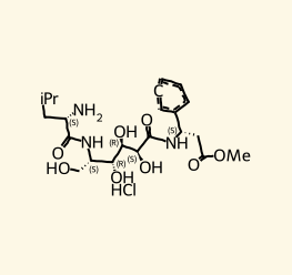 COC(=O)C[C@H](NC(=O)[C@@H](O)[C@H](O)[C@H](O)[C@H](CO)NC(=O)[C@@H](N)CC(C)C)c1ccccc1.Cl